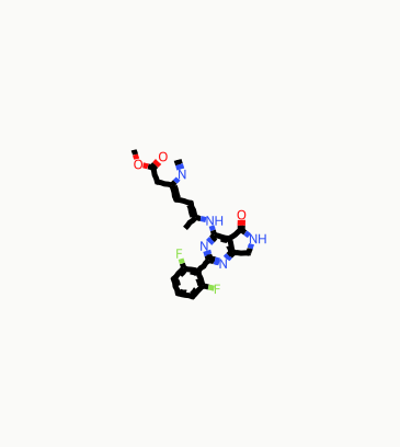 C=N/C(=C\C=C(/C)Nc1nc(-c2c(F)cccc2F)nc2c1C(=O)NC2)CC(=O)OC